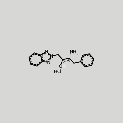 Cl.N[C@H](Cc1ccccc1)[C@@H](O)Cn1nc2ccccc2n1